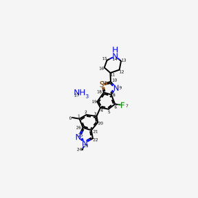 Cc1cc(-c2cc(F)c3nc(C4CCNCC4)sc3c2)cc2cn(C)nc12.N